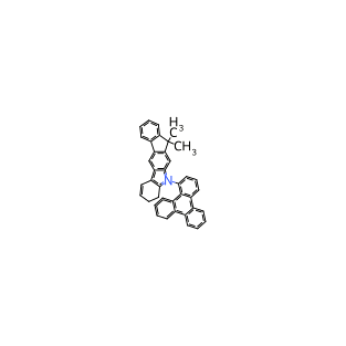 CC1(C)c2ccccc2-c2cc3c4c(n(-c5cccc6c5c5c(c7ccccc76)=CC=C=C=5)c3cc21)CCC=C4